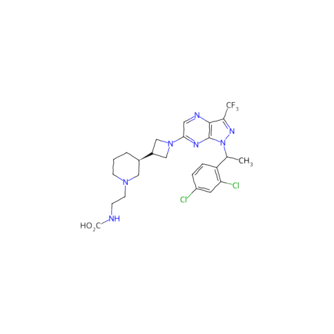 CC(c1ccc(Cl)cc1Cl)n1nc(C(F)(F)F)c2ncc(N3CC([C@@H]4CCCN(CCNC(=O)O)C4)C3)nc21